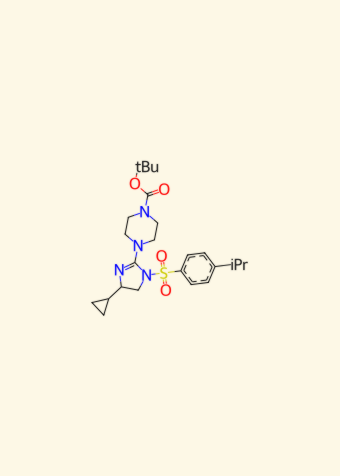 CC(C)c1ccc(S(=O)(=O)N2CC(C3CC3)N=C2N2CCN(C(=O)OC(C)(C)C)CC2)cc1